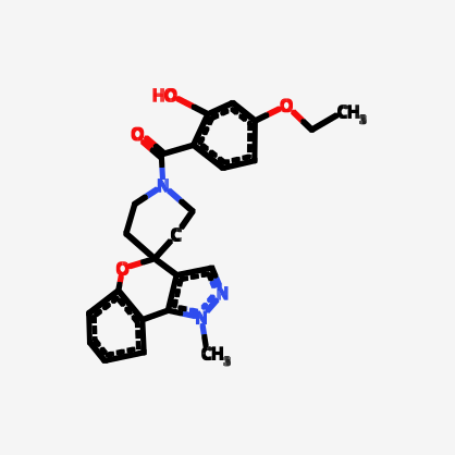 CCOc1ccc(C(=O)N2CCC3(CC2)Oc2ccccc2-c2c3cnn2C)c(O)c1